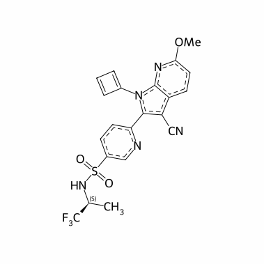 COc1ccc2c(C#N)c(-c3ccc(S(=O)(=O)N[C@@H](C)C(F)(F)F)cn3)n(C3=CC=C3)c2n1